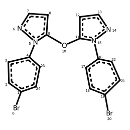 Brc1ccc(-n2nccc2Oc2ccnn2-c2ccc(Br)cc2)cc1